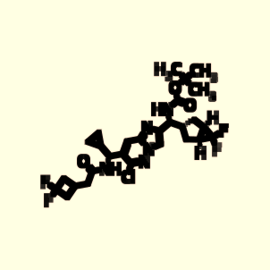 CC(C)(C)OC(=O)N[C@H](c1cn2nc(Cl)c([C@H](NC(=O)CC3CC(F)(F)C3)C3CC3)cc2n1)[C@@H]1C[C@@H]2[C@H](C1)C2(F)F